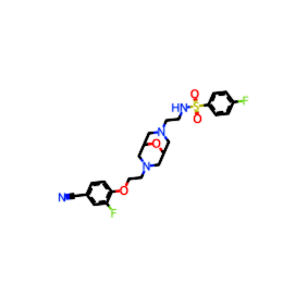 N#Cc1ccc(OCCN2CC3CN(CCNS(=O)(=O)c4ccc(F)cc4)CC(C2)O3)c(F)c1